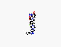 Cn1cnc(CN2CCN(c3cc4c(cc3F)C(=O)N(C3CCC(=O)NC3=O)C4)CC2)c1